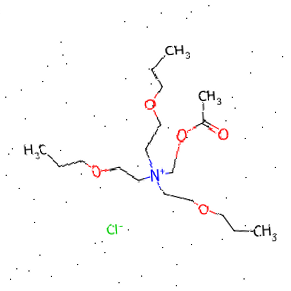 CCCOCC[N+](CCOCCC)(CCOCCC)COC(C)=O.[Cl-]